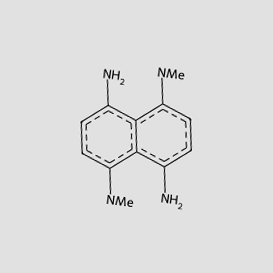 CNc1ccc(N)c2c(NC)ccc(N)c12